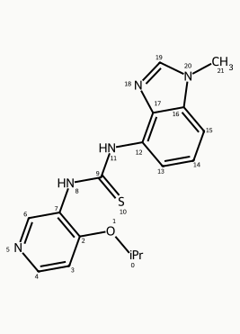 CC(C)Oc1ccncc1NC(=S)Nc1cccc2c1ncn2C